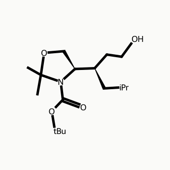 CC(C)C[C@H](CCO)[C@@H]1COC(C)(C)N1C(=O)OC(C)(C)C